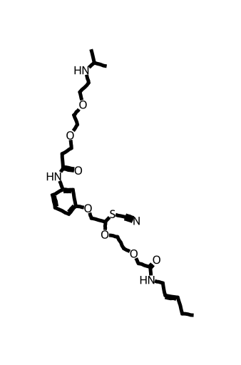 CC/C=C/CNC(=O)COCCOC(COc1cccc(NC(=O)CCOCCOCCNC(C)C)c1)SC#N